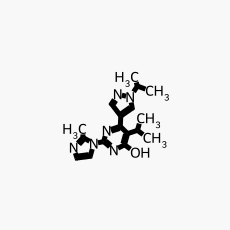 Cc1nccn1-c1nc(O)c(C(C)C)c(-c2cnn(C(C)C)c2)n1